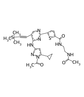 CC(=O)NCCNC(=O)c1ccc(-c2ncc(C#C[Si](C)(C)C)c(Nc3cc(C4CC4)n(C(C)=O)n3)n2)s1